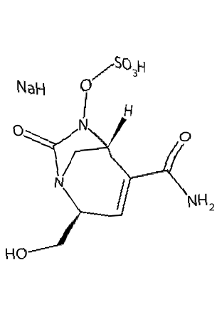 NC(=O)C1=C[C@@H](CO)N2C[C@@H]1N(OS(=O)(=O)O)C2=O.[NaH]